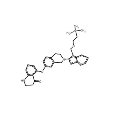 C[Si](C)(C)CCOCn1c(N2CCc3ccc(Oc4ccnc5c4C(=O)CCN5)cc3C2)nc2ccccc21